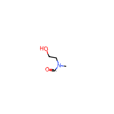 CN([C]=O)CCO